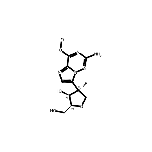 CCOc1nc(N)nn2c([C@@]3(F)CO[C@H](CO)[C@H]3O)cnc12